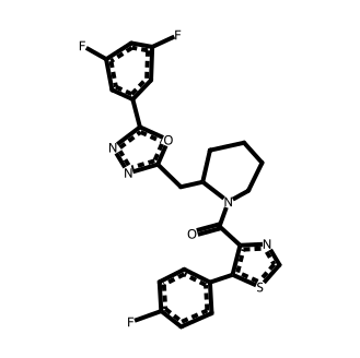 O=C(c1ncsc1-c1ccc(F)cc1)N1CCCCC1Cc1nnc(-c2cc(F)cc(F)c2)o1